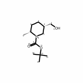 C[C@@H]1CC[C@H](CO)CN1C(=O)OC(C)(C)C